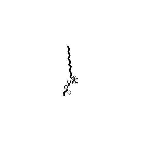 C=CC(=O)OCO[Si](CCCCCCCCCCC)(OC)OC